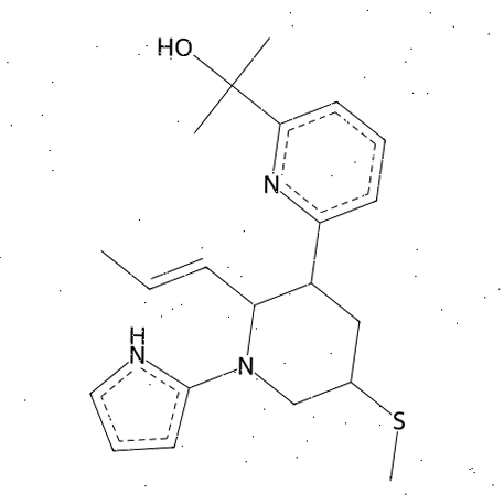 CC=CC1C(c2cccc(C(C)(C)O)n2)CC(SC)CN1c1ccc[nH]1